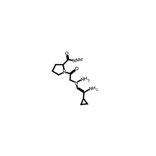 CNC(=O)C1CCCN1C(=O)CN(N)/C=C(\N)C1CC1